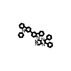 c1ccc(-c2nc3cnnc(-n4c5ccccc5c5cc(-c6ccc7c8ccccc8n(-c8ccccc8)c7c6)ccc54)c3nc2-c2ccccc2)cc1